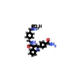 NC(=O)c1ccc(-c2cc(C(=O)NC[C@H]3CC[C@H](CNC(=O)O)CC3)c3ccccc3n2)cc1